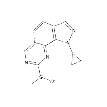 C[S+]([O-])c1ncc2ccc3cnn(C4CC4)c3c2n1